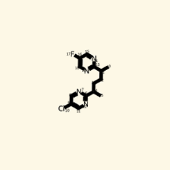 CC(CCC(C)c1ncc(Cl)cn1)c1ncc(F)cn1